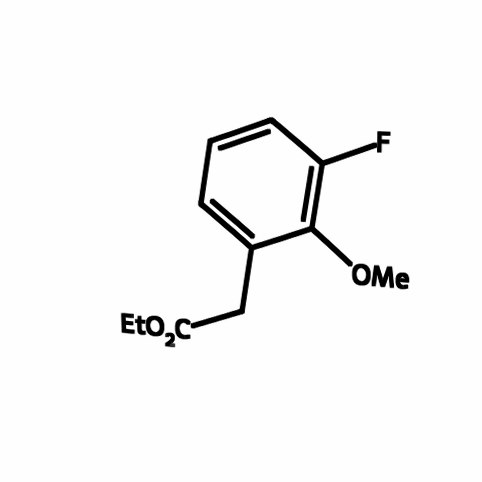 CCOC(=O)Cc1cccc(F)c1OC